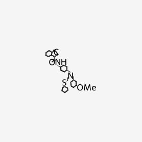 COc1cccc(CN(CCSc2ccccc2)Cc2ccc(CNC(=O)c3cccc4ccccc34)cc2)c1